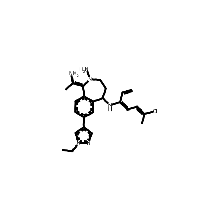 C=C/C(=C\C=C(/C)Cl)NC1CCN(N)/C(=C(/C)N)c2ccc(-c3cnn(CC)c3)cc21